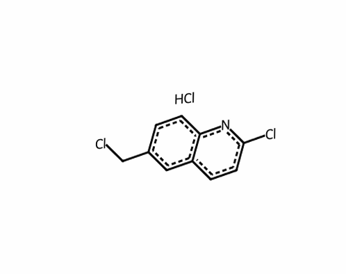 Cl.ClCc1ccc2nc(Cl)ccc2c1